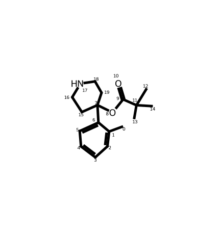 Cc1ccccc1C1(OC(=O)C(C)(C)C)CCNCC1